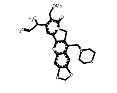 C=CC(C)c1cc2n(c(=O)c1COC)Cc1c-2nc2cc3c(cc2c1CN1CCSCC1)OCO3